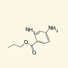 CCCOC(=O)c1ccc(N)cc1.N